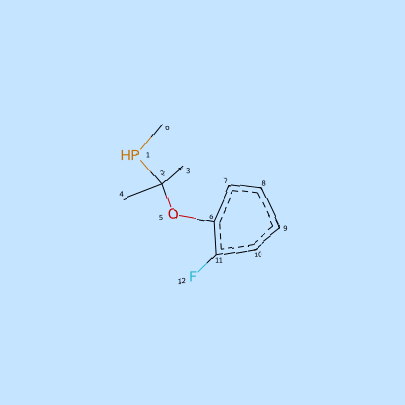 CPC(C)(C)Oc1ccccc1F